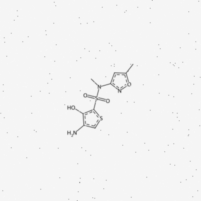 Cc1cc(N(C)S(=O)(=O)c2scc(N)c2O)no1